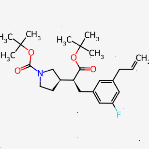 C=CCc1cc(F)cc(C[C@H](C(=O)OC(C)(C)C)[C@H]2CCN(C(=O)OC(C)(C)C)C2)c1